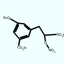 CC(=O)Oc1cc(CC(O[N+](=O)[O-])S(=O)(=O)O)cc(C(=O)O)c1